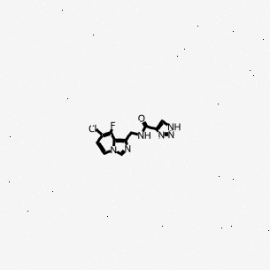 O=C(NCc1ncn2ccc(Cl)c(F)c12)c1c[nH]nn1